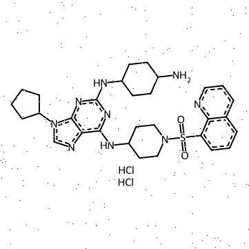 Cl.Cl.NC1CCC(Nc2nc(NC3CCN(S(=O)(=O)c4cccc5cccnc45)CC3)c3ncn(C4CCCC4)c3n2)CC1